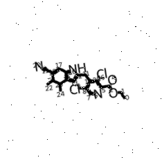 CCOC(=O)c1ncc(Cl)c(Cc2cc3c([nH]2)C=C(C#N)C(C)C3C)c1Cl